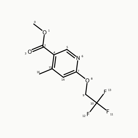 COC(=O)c1cnc(OCC(F)(F)F)cc1C